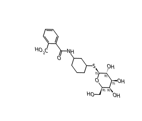 O=C(O)c1ccccc1C(=O)NC1CCCC(S[C@@H]2O[C@H](CO)[C@H](O)[C@H](O)[C@H]2O)C1